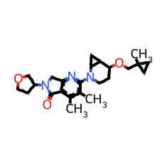 Cc1c(N2CCC(OCC3(C)CC3)C3CC32)nc2c(c1C)C(=O)N(C1CCOC1)C2